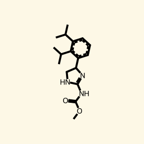 COC(=O)NC1=NC(c2cccc(C(C)C)c2C(C)C)CN1